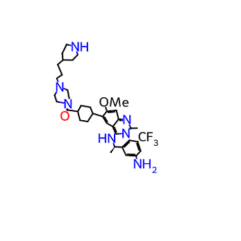 COc1cc2nc(C)nc(N[C@H](C)c3cc(N)cc(C(F)(F)F)c3)c2cc1C1CCC(C(=O)N2CCN(CCCC3CCNCC3)CC2)CC1